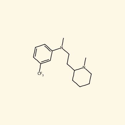 CN(CCC1CCCCN1C)c1cccc(C(F)(F)F)c1